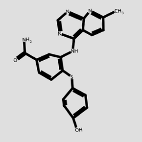 Cc1ccc2c(Nc3cc(C(N)=O)ccc3Sc3ccc(O)cc3)ncnc2n1